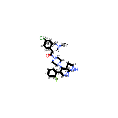 CC(C)N(C[C@H](C(=O)N1CCN(c2c(-c3ccccc3F)cnc3[nH]ccc23)CC1)c1ccc(Cl)cc1)C(=O)O